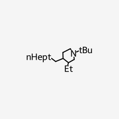 CCCCCCCCC1CCN(C(C)(C)C)CC1CC